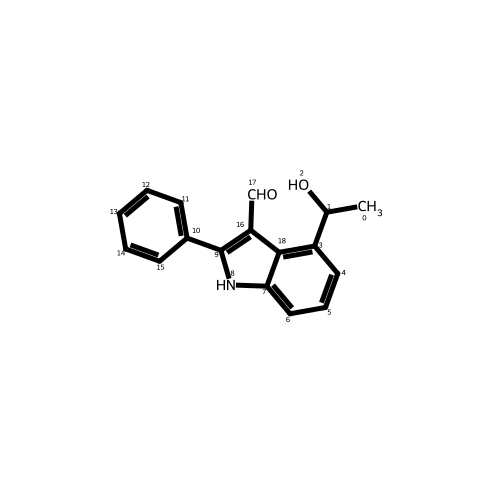 CC(O)c1cccc2[nH]c(-c3ccccc3)c(C=O)c12